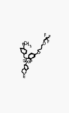 COc1ccc(CN(c2ccc(OCCCOCC(F)(F)F)cc2F)S(=O)(=O)c2ccc3c(c2)CCNC3)cc1